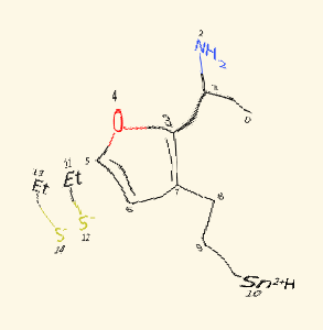 CC(N)c1occc1C[CH2][SnH+2].CC[S-].CC[S-]